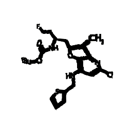 Cc1c(C[C@H](CCF)NC(=O)OC(C)(C)C)oc2c(NCc3cccs3)cc(Cl)nc12